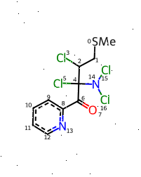 CSCC(Cl)C(Cl)(C(=O)c1ccccn1)N(Cl)Cl